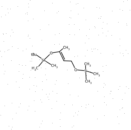 CC(=CCO[Si](C)(C)C)O[Si](C)(C)C(C)(C)C